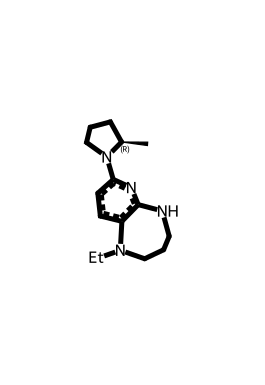 CCN1CCCNc2nc(N3CCC[C@H]3C)ccc21